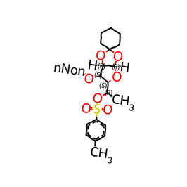 CCCCCCCCCO[C@@H]1[C@H]2OC3(CCCCC3)O[C@H]2O[C@@H]1[C@@H](C)OS(=O)(=O)c1ccc(C)cc1